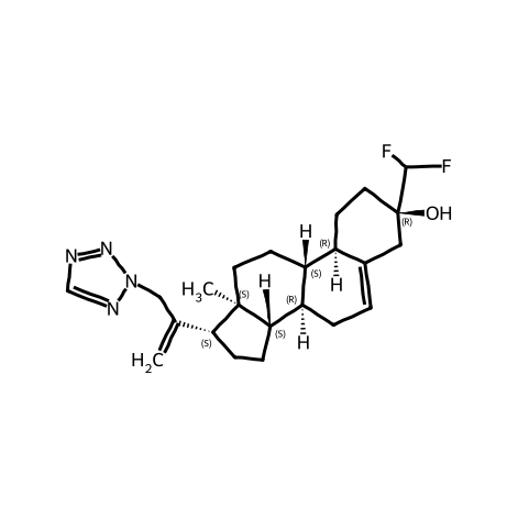 C=C(Cn1ncnn1)[C@H]1CC[C@H]2[C@@H]3CC=C4C[C@@](O)(C(F)F)CC[C@@H]4[C@H]3CC[C@]12C